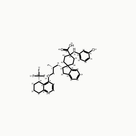 C[C@@H](COc1ccnc2c1[C@@H](C(F)(F)F)CCC2)C[C@H]1Cc2ccccc2C12CCC(Nc1cccc(Cl)c1)(C(=O)O)CC2